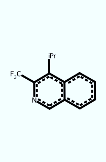 CC(C)c1c(C(F)(F)F)ncc2ccccc12